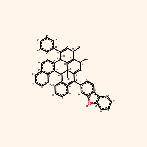 CC1C=C2C(c3ccc4c(c3)oc3ccccc34)=c3ccccc3=C3c4c(ccc5ccccc45)C4(C)C(c5ccccc5)=CC(C)C1=C4C23C